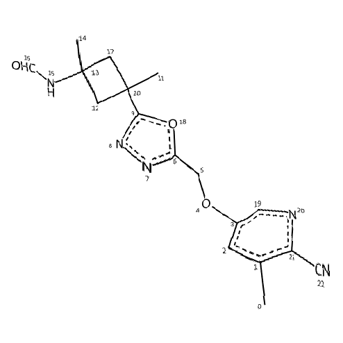 Cc1cc(OCc2nnc(C3(C)CC(C)(NC=O)C3)o2)cnc1C#N